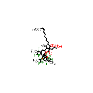 CCCCCCCC/C=C\CCCCCCCC(=O)C(CC(O)CO)(C(=O)Oc1cc(C(F)(C(F)F)C(F)(F)F)cc(C(F)(C(F)F)C(F)(F)F)c1)C(CCCC)c1cc(C(F)(C(F)F)C(F)(F)F)cc(C(F)(C(F)F)C(F)(F)F)c1